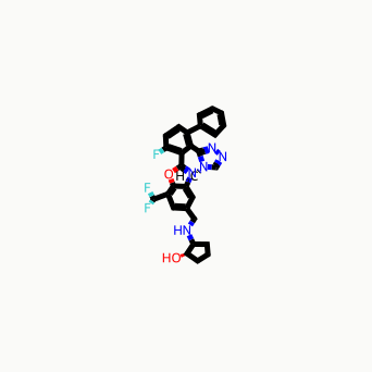 Cn1cnnc1-c1c(-c2ccccc2)ccc(F)c1-c1nc2cc(CNC3CCC[C@H]3O)cc(C(F)F)c2o1